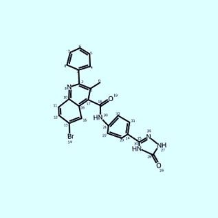 Cc1c(-c2ccccc2)nc2ccc(Br)cc2c1C(=O)Nc1ccc(-c2n[nH]c(=O)[nH]2)cc1